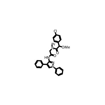 COC(C(=O)N(CC(=O)Nc1nn(-c2ccccc2)cc1-c1ccccc1)C(C)C)c1ccc(Cl)cc1